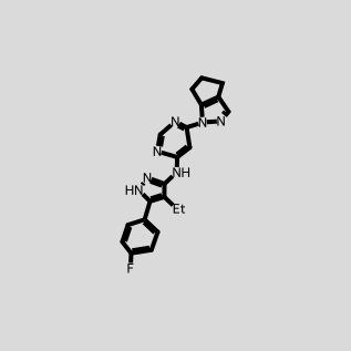 CCc1c(Nc2cc(-n3ncc4c3CCC4)ncn2)n[nH]c1-c1ccc(F)cc1